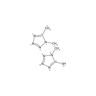 Cc1nnnn1C.Cn1nnnc1S